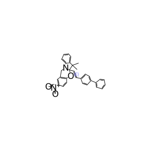 CC1(C)c2ccccc2N2Cc3cc([N+](=O)[O-])ccc3OC21/C=C/c1ccc(-c2ccccc2)cc1